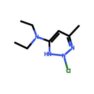 CCN(CC)C1=CC(C)=NN(Cl)N1